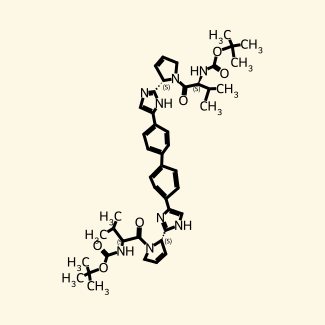 CC(C)[C@H](NC(=O)OC(C)(C)C)C(=O)N1CC=C[C@H]1c1nc(-c2ccc(-c3ccc(-c4cnc([C@@H]5C=CCN5C(=O)[C@@H](NC(=O)OC(C)(C)C)C(C)C)[nH]4)cc3)cc2)c[nH]1